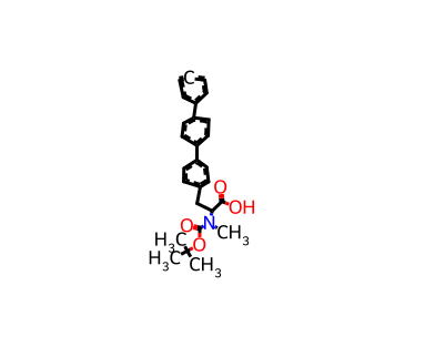 CN(C(=O)OC(C)(C)C)C(Cc1ccc(-c2ccc(-c3ccccc3)cc2)cc1)C(=O)O